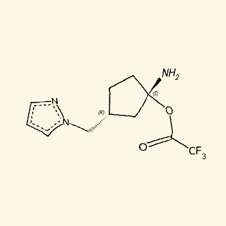 N[C@]1(OC(=O)C(F)(F)F)CC[C@@H](Cn2cccn2)C1